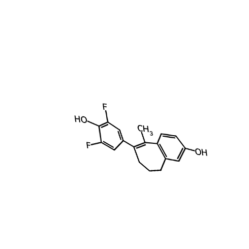 CC1=C(c2cc(F)c(O)c(F)c2)CCCc2cc(O)ccc21